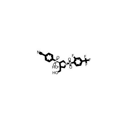 N#Cc1ccc(S(=O)(=O)[C@H]2CN(S(=O)(=O)c3ccc(C(F)(F)F)cc3F)C[C@@]2(O)CO)cc1